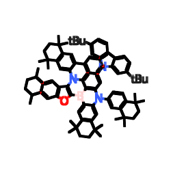 CC(C)(C)c1ccc2c3ccc(C(C)(C)C)cc3n(-c3cc4c5c(c3)N(c3cc6c(cc3-c3ccccc3)C(C)(C)CCC6(C)C)c3c(oc6cc7c(cc36)C3(C)CCC7(C)CC3)B5c3cc5c(cc3N4c3ccc4c(c3)C(C)(C)CCC4(C)C)C(C)(C)CCC5(C)C)c2c1